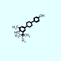 Cc1cc(C2CCC(c3ccc(O)cc3)CC2)cc(C(C)(C)C)c1O